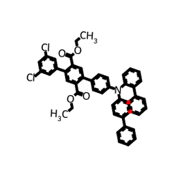 CCOC(=O)c1cc(-c2cc(Cl)cc(Cl)c2)c(C(=O)OCC)cc1-c1ccc(N(c2ccc(-c3ccccc3)cc2)c2ccccc2-c2ccccc2)cc1